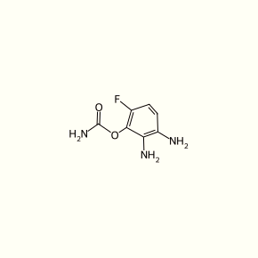 NC(=O)Oc1c(F)ccc(N)c1N